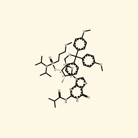 COCCCP(=O)(O[C@H]1[C@@H](F)[C@H](n2cnc3c(=O)[nH]c(NC(=O)C(C)C)nc32)O[C@@H]1COC(c1ccccc1)(c1ccc(OC)cc1)c1ccc(OC)cc1)N(C(C)C)C(C)C